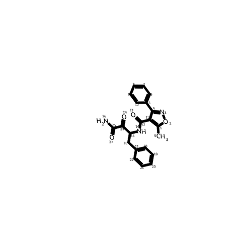 Cc1onc(-c2ccccc2)c1C(=O)NC(Cc1ccccc1)C(=O)C(N)=O